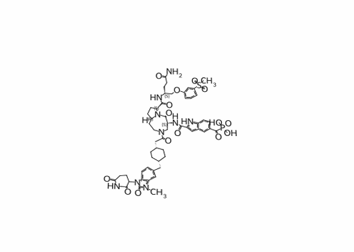 Cn1c(=O)n(C2CCC(=O)NC2=O)c2ccc(C[C@H]3CC[C@@H](CC(=O)N4CC[C@H]5CC[C@@H](C(=O)N[C@@H](CCC(N)=O)COc6cccc(S(C)(=O)=O)c6)N5C(=O)[C@@H](NC(=O)c5cc6cc(C(=O)P(=O)(O)O)ccc6[nH]5)C4)CC3)cc21